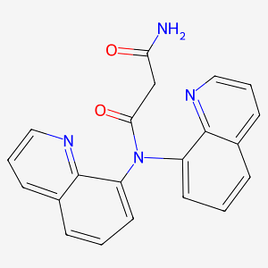 NC(=O)CC(=O)N(c1cccc2cccnc12)c1cccc2cccnc12